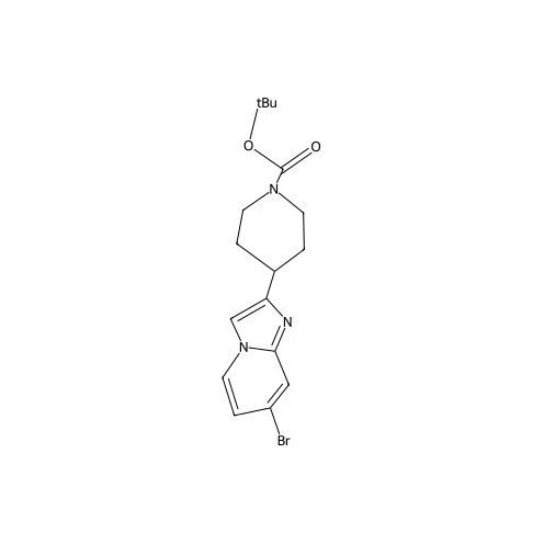 CC(C)(C)OC(=O)N1CCC(c2cn3ccc(Br)cc3n2)CC1